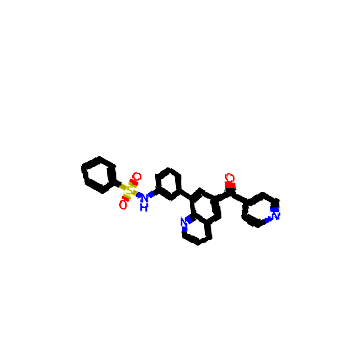 O=C(c1ccncc1)c1cc(-c2cccc(NS(=O)(=O)c3ccccc3)c2)c2ncccc2c1